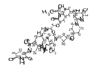 CNC(=O)COc1cc2cc(Nc3nc(N4CCC(OC5CC(N6CC[C@@H](c7ccc8c(c7F)CN([C@H]7CCC(=O)NC7=O)C8=O)C(C)(C)C6)C5)CC4)ncc3Cl)ccc2n(C(C)C)c1=O